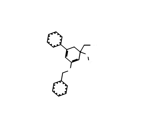 CC(C)OC1(CC(=O)O)C=C(OCc2ccccc2)C=C(c2ccccc2)C1